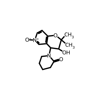 CC1(C)Oc2cc[n+]([O-])cc2C(N2CCCCC2=O)C1O